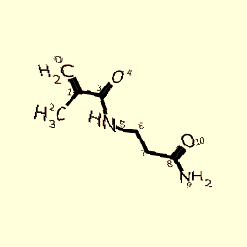 C=C(C)C(=O)NCCC(N)=O